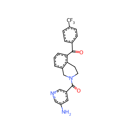 Nc1cncc(C(=O)N2CCc3c(cccc3C(=O)c3ccc(C(F)(F)F)cc3)C2)c1